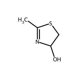 CC1=NC(O)CS1